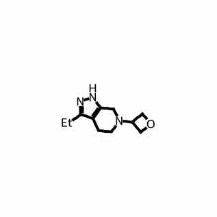 CCc1n[nH]c2c1CCN(C1COC1)C2